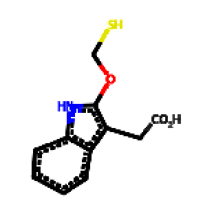 O=C(O)Cc1c(OCS)[nH]c2ccccc12